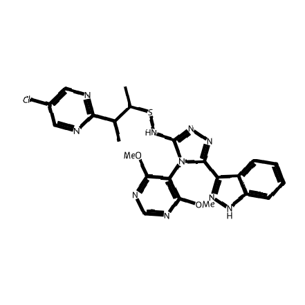 COc1ncnc(OC)c1-n1c(NSC(C)C(C)c2ncc(Cl)cn2)nnc1-c1n[nH]c2ccccc12